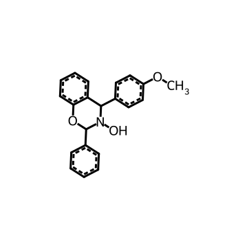 COc1ccc(C2c3ccccc3OC(c3ccccc3)N2O)cc1